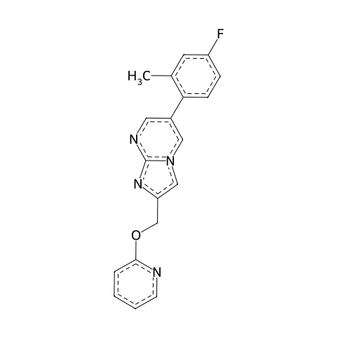 Cc1cc(F)ccc1-c1cnc2nc(COc3ccccn3)cn2c1